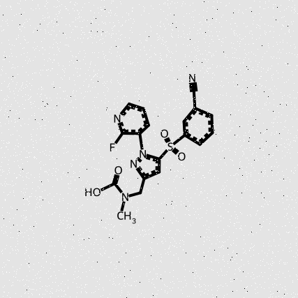 CN(Cc1cc(S(=O)(=O)c2cccc(C#N)c2)n(-c2cccnc2F)n1)C(=O)O